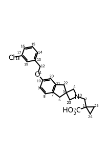 O=C(O)C1(CN2CC3(Cc4ccc(OCc5cccc(Cl)c5)cc4C3)C2)CC1